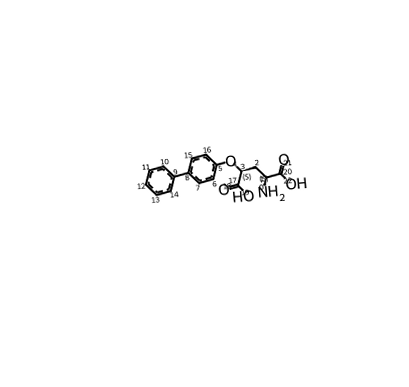 N[C@@H](C[C@H](Oc1ccc(-c2ccccc2)cc1)C(=O)O)C(=O)O